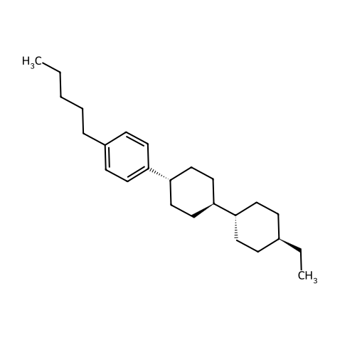 CCCCCc1ccc([C@H]2CC[C@H]([C@H]3CC[C@H](CC)CC3)CC2)cc1